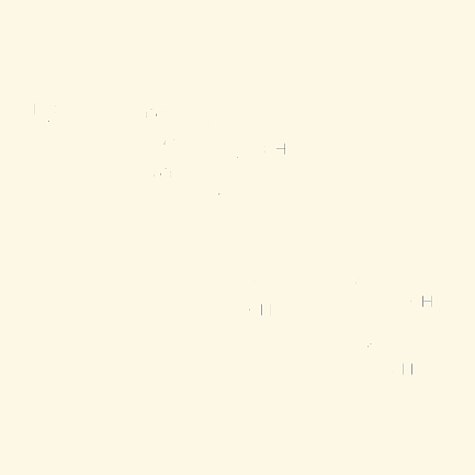 C=CCOC(=O)C=C(C)C=CCC(C)CCC=C(C)CC